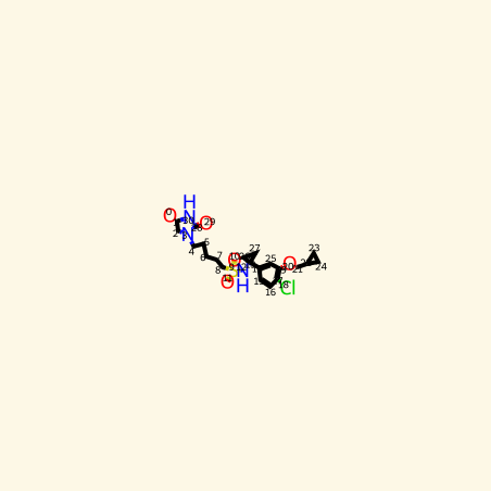 O=C1CN(CCCCCS(=O)(=O)NC2(c3ccc(Cl)c(OCC4CC4)c3)CC2)C(=O)N1